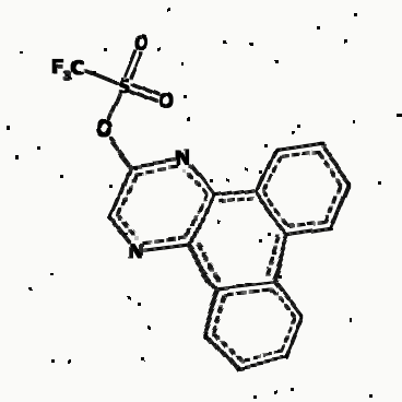 O=S(=O)(Oc1cnc2c3ccccc3c3ccccc3c2n1)C(F)(F)F